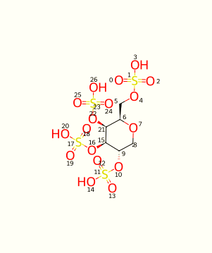 O=S(=O)(O)OC[C@H]1O[CH][C@H](OS(=O)(=O)O)[C@@H](OS(=O)(=O)O)[C@H]1OS(=O)(=O)O